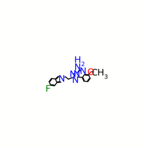 COc1cccc2c1nc(N)n1nc(CCn3cc4ccc(F)cc4c3)nc21